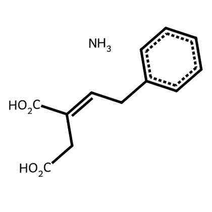 N.O=C(O)CC(=CCc1ccccc1)C(=O)O